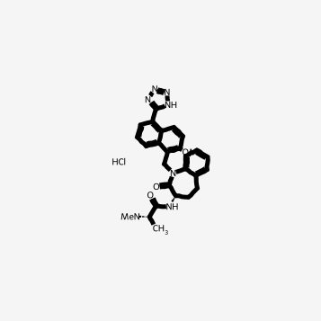 CN[C@@H](C)C(=O)N[C@H]1CCc2ccccc2N(Cc2c(OC)ccc3c(-c4nnn[nH]4)cccc23)C1=O.Cl